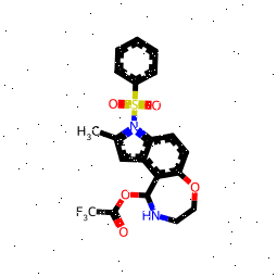 Cc1cc2c3c(ccc2n1S(=O)(=O)c1ccccc1)OCCNC3OC(=O)C(F)(F)F